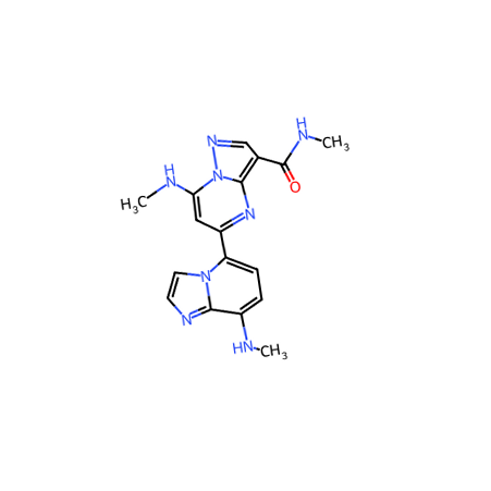 CNC(=O)c1cnn2c(NC)cc(-c3ccc(NC)c4nccn34)nc12